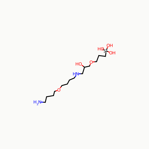 NCCCCOCCCCNCC(O)COCCC[Si](O)(O)O